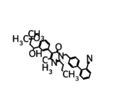 CCCc1nc(C)c(-c2ccc3c(c2)C(O)CC(C)(C)O3)c(=O)n1Cc1ccc(-c2ccccc2C#N)cc1